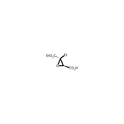 CCOC(=O)[C@@]1(CC)O[C@@H]1C(=O)O